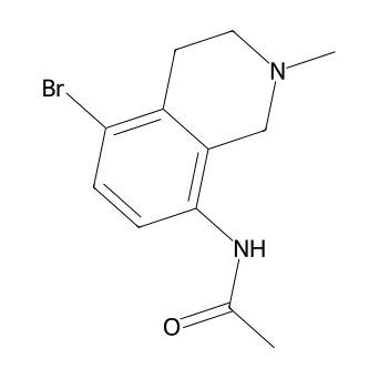 CC(=O)Nc1ccc(Br)c2c1CN(C)CC2